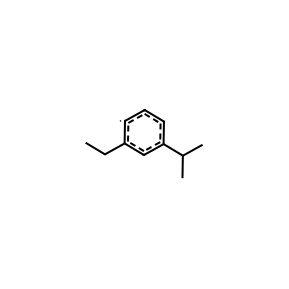 CCc1[c]ccc(C(C)C)c1